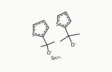 CC(C)([O-])c1cccs1.CC(C)([O-])c1cccs1.[Sn+2]